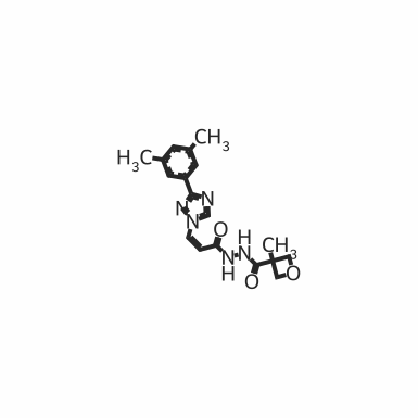 Cc1cc(C)cc(-c2ncn(/C=C\C(=O)NNC(=O)C3(C)COC3)n2)c1